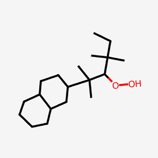 CCC(C)(C)C(OO)C(C)(C)C1CCC2CCCCC2C1